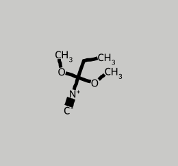 [C-]#[N+]C(CC)(OC)OC